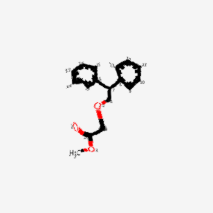 COC(=O)COCC(c1ccccc1)c1ccccc1